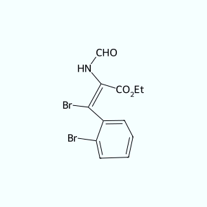 CCOC(=O)/C(NC=O)=C(/Br)c1ccccc1Br